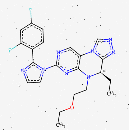 CCOCCN1c2nc(-n3ccnc3-c3ccc(F)cc3F)ncc2-n2cnnc2[C@H]1CC